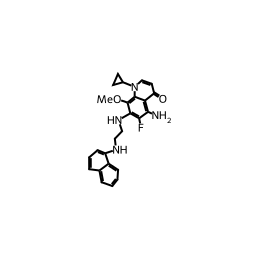 COc1c(NCCNc2cccc3ccccc23)c(F)c(N)c2c(=O)ccn(C3CC3)c12